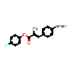 CCCCCc1ccc(/C=C(\C#N)C(=O)Oc2ccc(F)cc2)cc1